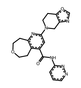 O=C(Nc1cccnn1)c1cc(N2CCc3ocnc3C2)nc2c1CCOCC2